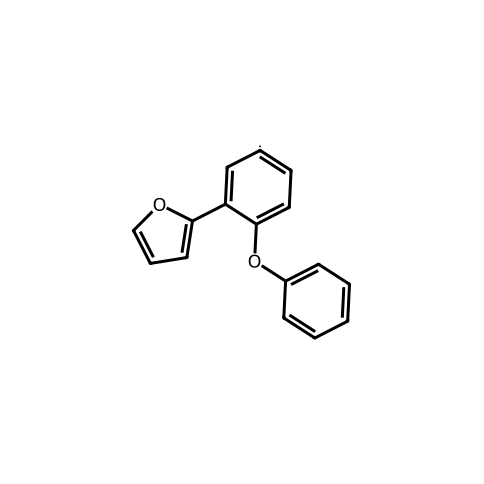 [c]1ccc(Oc2ccccc2)c(-c2ccco2)c1